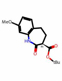 COc1ccc2c(c1)NC(=O)[C@H](C(=O)OC(C)(C)C)CC2